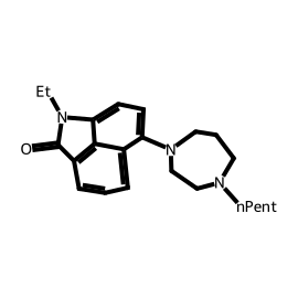 CCCCCN1CCCN(c2ccc3c4c(cccc24)C(=O)N3CC)CC1